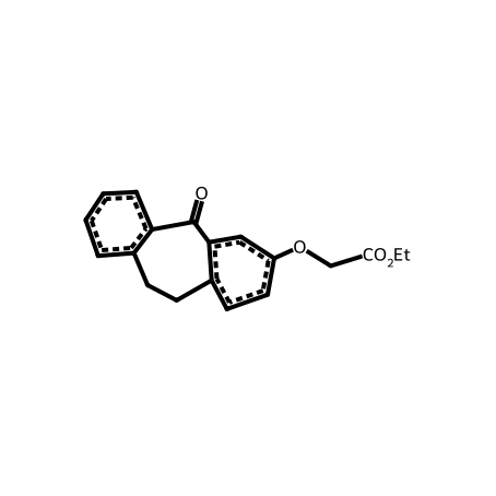 CCOC(=O)COc1ccc2c(c1)C(=O)c1ccccc1CC2